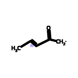 [CH2]C(=O)/C=C/C